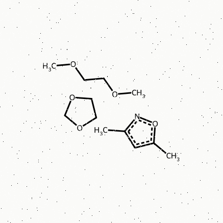 C1COCO1.COCCOC.Cc1cc(C)on1